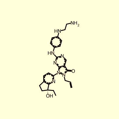 C=CCn1c(=O)c2cnc(Nc3ccc(NCCN)cc3)nc2n1-c1ccc2c(n1)[C@@](O)(CC)CC2